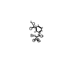 COC(=O)c1cccc(C(=O)C(Br)[N+](=O)[O-])c1